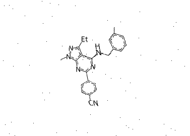 CCc1nn(C)c2nc(-c3ccc(C#N)cc3)nc(NCc3cccc(C)c3)c12